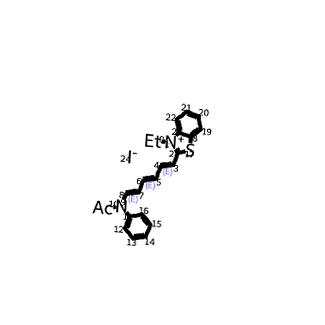 CC[n+]1c(/C=C/C=C/C=C/N(C(C)=O)c2ccccc2)sc2ccccc21.[I-]